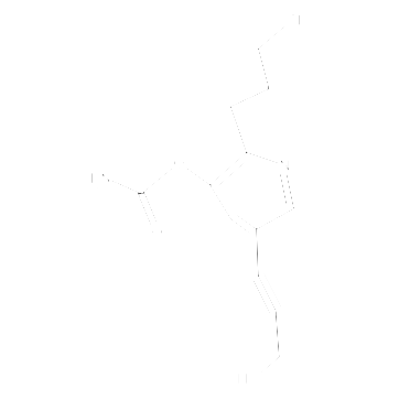 CCCCc1ncc(C#CCO)cc1OC(N)=O